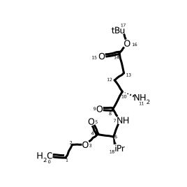 C=CCOC(=O)[C@@H](NC(=O)[C@@H](N)CCC(=O)OC(C)(C)C)C(C)C